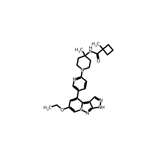 CCOc1cc(-c2ccc(N3CCC(C)(NC(=O)C4(C)CCC4)CC3)nc2)c2c3cn[nH]c3nn2c1